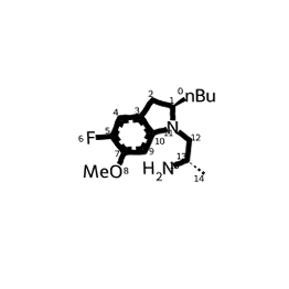 CCCC[C@@H]1Cc2cc(F)c(OC)cc2N1C[C@H](C)N